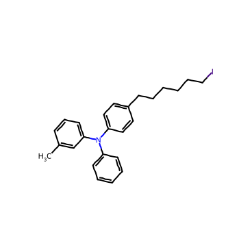 Cc1cccc(N(c2ccccc2)c2ccc(CCCCCCI)cc2)c1